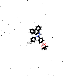 CC(C)(C)c1ccc(-n2c(-c3ccc(B4OC(C)(C)C(C)(C)O4)cc3)nc3c4ccccc4c4ccccc4c32)cc1